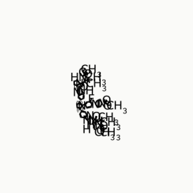 CCCCN(C(=O)[C@@H](NC(=O)OC)C(C)C)c1nc2cc([C@H]3CC[C@H](c4ccc5[nH]c([C@@H]6CCCN6C(=O)[C@@H](NC(=O)OC)C(C)C)nc5c4)N3c3ccc(N4CCN(C(=O)OC)CC4)c(F)c3)ccc2[nH]1